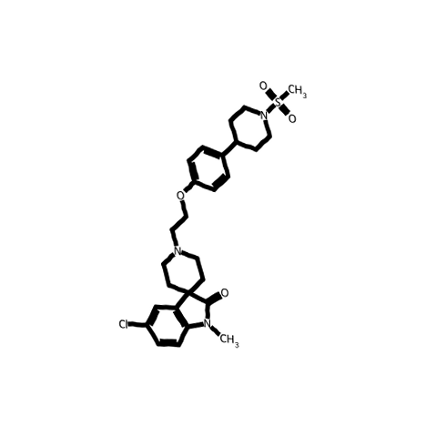 CN1C(=O)C2(CCN(CCOc3ccc(C4CCN(S(C)(=O)=O)CC4)cc3)CC2)c2cc(Cl)ccc21